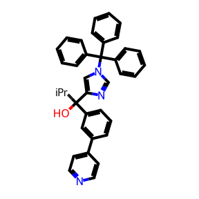 CC(C)C(O)(c1cccc(-c2ccncc2)c1)c1cn(C(c2ccccc2)(c2ccccc2)c2ccccc2)cn1